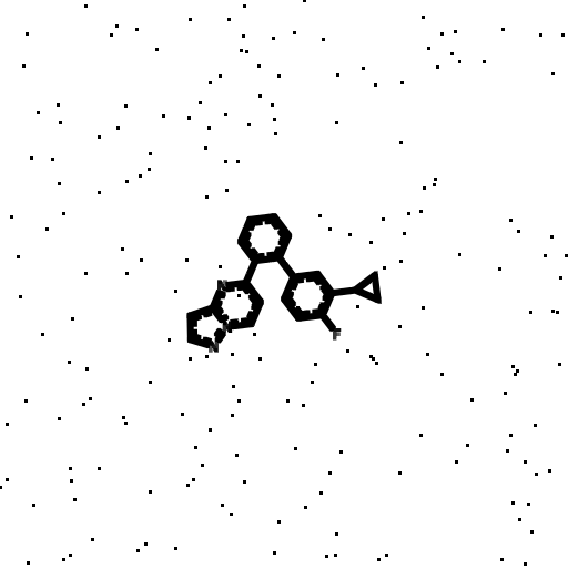 Fc1ccc(-c2ccccc2-c2ccn3nccc3n2)cc1C1CC1